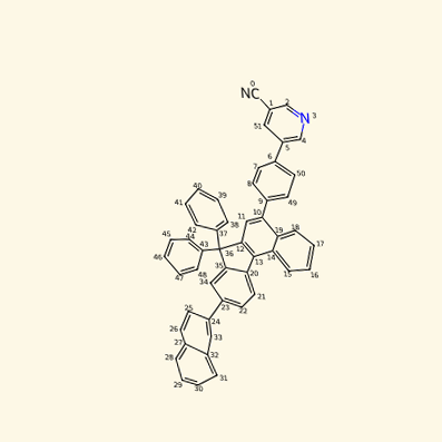 N#Cc1cncc(-c2ccc(-c3cc4c(c5ccccc35)-c3ccc(-c5ccc6ccccc6c5)cc3C4(c3ccccc3)c3ccccc3)cc2)c1